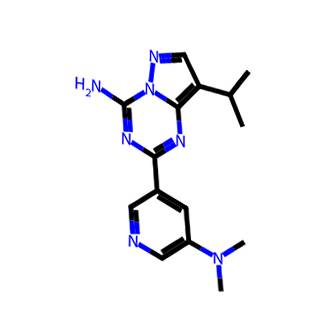 CC(C)c1cnn2c(N)nc(-c3cncc(N(C)C)c3)nc12